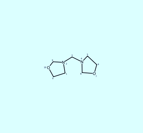 C1CN(CN2CCOC2)CO1